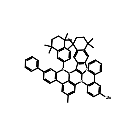 Cc1cc2c3c(c1)N(c1ccc(C(C)(C)C)cc1-c1ccccc1)c1oc4cc5c(cc4c1B3N(c1ccc3c(c1)C(C)(C)CCC3(C)C)c1cc(-c3ccccc3)ccc1-2)C(C)(C)CCC5(C)C